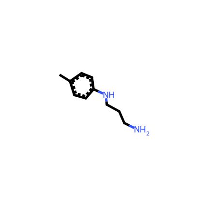 Cc1ccc(NCCCN)cc1